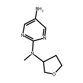 Bc1cnc(N(C)C2CCOC2)nc1